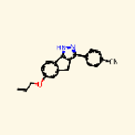 C=CCOc1ccc2c(c1)Cc1c(-c3ccc(C#N)cc3)n[nH]c1-2